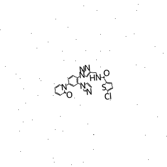 O=C(NCc1cn(-c2ccc(-n3ccccc3=O)cc2-n2ccnc2)nn1)c1ccc(Cl)s1